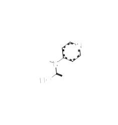 CN(C(=O)O)c1ccncc1